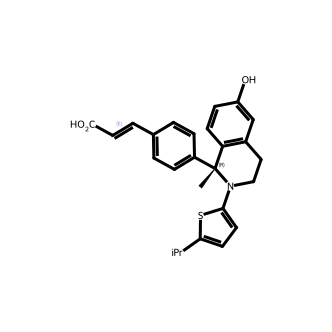 CC(C)c1ccc(N2CCc3cc(O)ccc3[C@@]2(C)c2ccc(/C=C/C(=O)O)cc2)s1